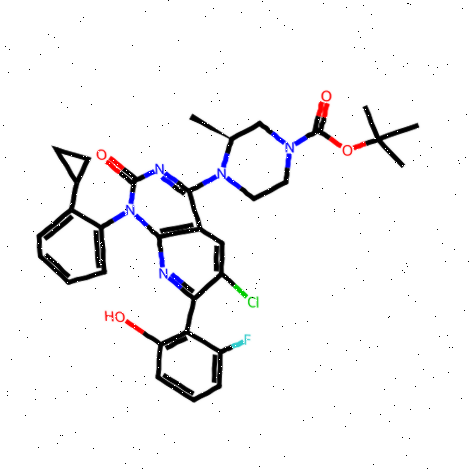 C[C@H]1CN(C(=O)OC(C)(C)C)CCN1c1nc(=O)n(-c2ccccc2C2CC2)c2nc(-c3c(O)cccc3F)c(Cl)cc12